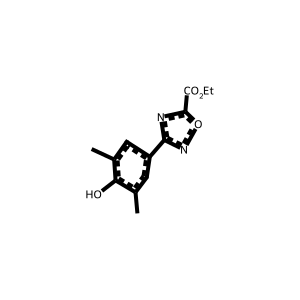 CCOC(=O)c1nc(-c2cc(C)c(O)c(C)c2)no1